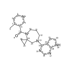 Cc1ccncc1C(=O)N1CCCN(c2ncnc3[nH]ccc23)CC12CC2